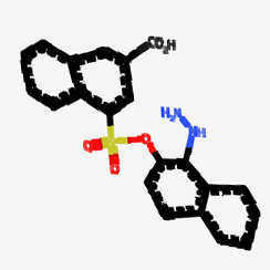 NNc1c(OS(=O)(=O)c2cc(C(=O)O)cc3ccccc23)ccc2ccccc12